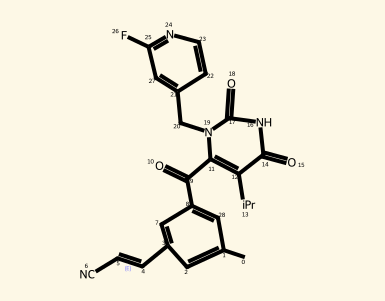 Cc1cc(/C=C/C#N)cc(C(=O)c2c(C(C)C)c(=O)[nH]c(=O)n2Cc2ccnc(F)c2)c1